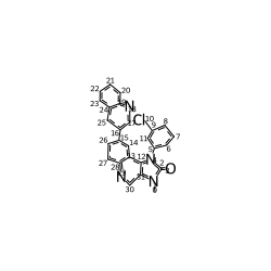 Cn1c(=O)n(-c2cccc(Cl)c2)c2c3cc(-c4cnc5ccccc5c4)ccc3ncc21